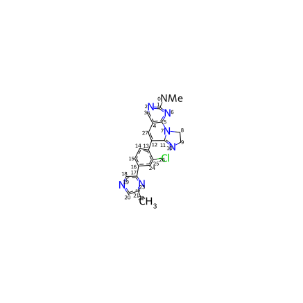 CNc1ncc2c(n1)N1CCN=C1C(c1ccc(-c3cncc(C)n3)cc1Cl)=C2